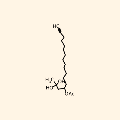 C#CCCCCCCCCCCCC(CC(C)(O)O)OC(C)=O